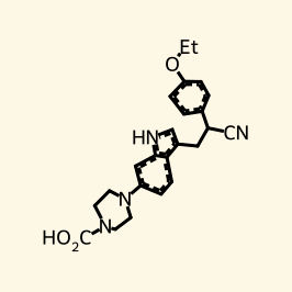 CCOc1ccc(C(C#N)Cc2c[nH]c3cc(N4CCN(C(=O)O)CC4)ccc23)cc1